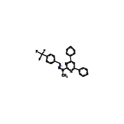 CN(/N=C/c1ccc(C(F)(F)F)cc1)c1nc(-c2ccccc2)cc(-c2ccccc2)n1